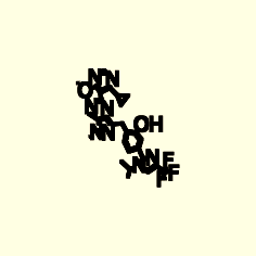 COc1ncnc(C2CC2)c1-c1ncc2c(n1)c(Cc1ccc(-c3nc(C(F)(F)F)cn3C(C)C)cc1O)nn2C